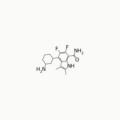 Cc1[nH]c2c(C(N)=O)c(F)c(F)c(C3CCCC(N)C3)c2c1C